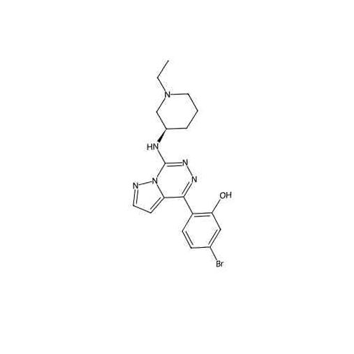 CCN1CCC[C@@H](Nc2nnc(-c3ccc(Br)cc3O)c3ccnn23)C1